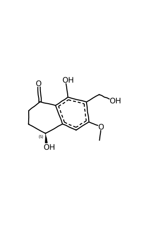 COc1cc2c(c(O)c1CO)C(=O)CC[C@@H]2O